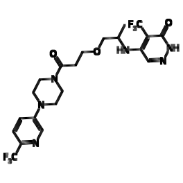 CC(COCCC(=O)N1CCN(c2ccc(C(F)(F)F)nc2)CC1)Nc1cn[nH]c(=O)c1C(F)(F)F